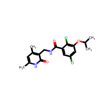 Cc1cc(C)c(CNC(=O)c2cc(Cl)cc(OC(C)C)c2Cl)c(=O)[nH]1